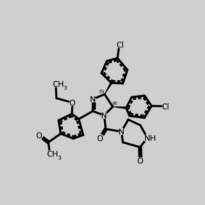 CCOc1cc(C(C)=O)ccc1C1=N[C@@H](c2ccc(Cl)cc2)[C@@H](c2ccc(Cl)cc2)N1C(=O)N1CCNC(=O)C1